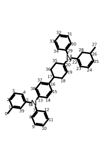 Cc1cccc(N(c2ccccc2)c2ccc(C3CC=C(N(C4=CC=CC(C)C4)c4ccccc4)CC3)cc2)c1